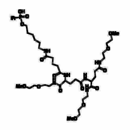 COCCOCCNC(=O)CCC(NC(=O)CCC(NC(=O)CCCC(=O)NCCCCCCOP(=O)(O)C(C)C)C(=O)NCCOCCOC)C(=O)NCCOCCOC